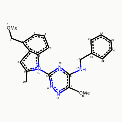 COCc1cccc2c1cc(C)n2-c1nnc(OC)c(NCc2ccccc2)n1